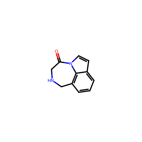 O=C1CNCc2cccc3ccn1c23